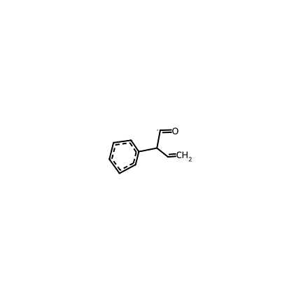 C=CC([C]=O)c1ccccc1